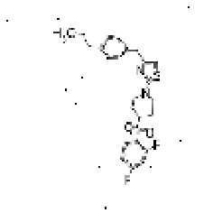 CCCc1ccc(Cc2csc(N3CCC(S(=O)(=O)c4ccc(F)cc4F)CC3)n2)cc1